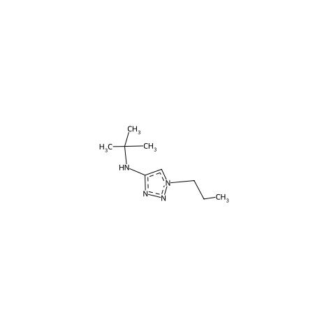 CCCn1cc(NC(C)(C)C)nn1